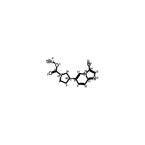 CC(C)(C)OC(=O)N1CC[C@H](c2ccc3ncc(Br)n3c2)C1